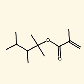 C=C(C)C(=O)OC(C)(C)C(C)C(C)C